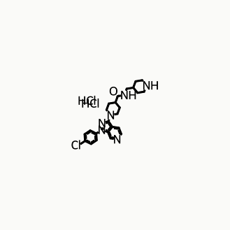 Cl.Cl.O=C(NCC1CCNCC1)C1CCN(c2nn(-c3ccc(Cl)cc3)c3cnccc23)CC1